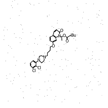 CCC(C)C(=O)OC(C)n1c(=O)ccc2ccc(OCCCCN3CCN(c4cccc(Cl)c4Cl)CC3)cc21